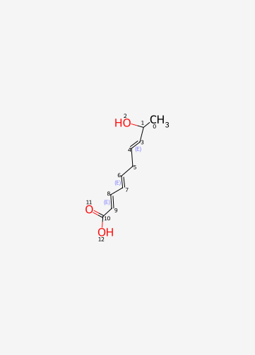 CC(O)/C=C/C/C=C/C=C/C(=O)O